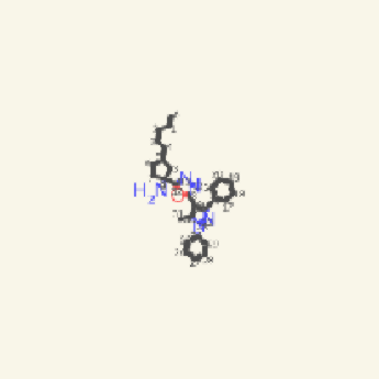 C=C/C=C\C=C1/C=C[C@](N)(c2nnc(-c3c(-c4ccccc4)nn(-c4ccccc4)c3C)o2)C1